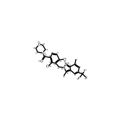 Cc1cc(C(F)(F)F)cc2c(C)n(Cc3c(Cl)ccc(C(=O)N4CCOCC4)c3Cl)nc12